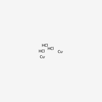 Cl.Cl.Cl.[Cu].[Cu]